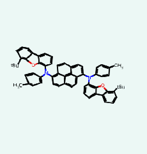 Cc1ccc(N(c2ccc3ccc4c(N(c5ccc(C)cc5)c5cccc6c5oc5c(C(C)(C)C)cccc56)ccc5ccc2c3c54)c2cccc3c2oc2c(C(C)(C)C)cccc23)cc1